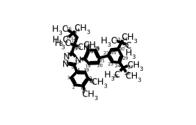 Cc1ccc(-c2nnc(C(C)(C)CC(C)(C)C)n2-c2ccc(-c3cc(C(C)(C)C)cc(C(C)(C)C)c3)cc2C)cc1C